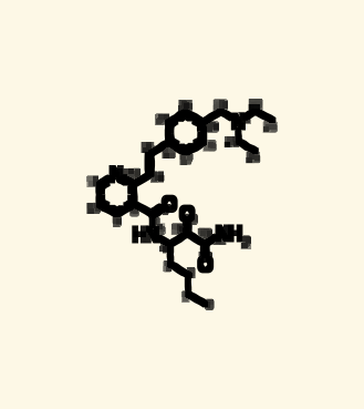 CCCCC(NC(=O)c1cccnc1/C=C/c1ccc(CN(CC)CC)cc1)C(=O)C(N)=O